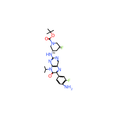 CC(C)n1c(=O)c(-c2ccc(N)c(F)c2)nc2cnc(N[C@H]3C[C@H](F)CN(C(=O)OC(C)(C)C)C3)nc21